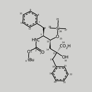 CC(C)(C)OC(=O)N[C@@H](Cc1ccccc1)[C@H](C[C@@](O)(Cc1ccccc1)C(=O)O)O[Si](C)(C)C